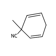 CC1(C#N)C=CCC=C1